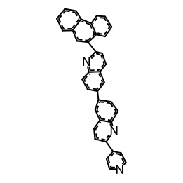 c1ccc2c(c1)cc(-c1ccc3cc(-c4ccc5nc(-c6ccncc6)ccc5c4)ccc3n1)c1ccccc12